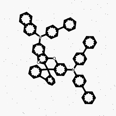 c1ccc(-c2ccc(N(c3ccc(-c4ccccc4)cc3)c3ccc4c(c3)Oc3c(oc5ccc(N(c6ccc(-c7ccccc7)cc6)c6ccc7ccccc7c6)cc35)C43c4ccccc4-c4ccccc43)cc2)cc1